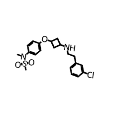 CN(c1ccc(OC2CC(NCCc3cccc(Cl)c3)C2)cc1)S(C)(=O)=O